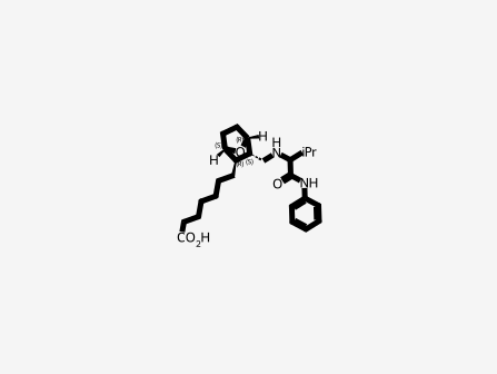 CC(C)C(NC[C@@H]1[C@@H](CCCCCCC(=O)O)[C@@H]2CC[C@H]1O2)C(=O)Nc1ccccc1